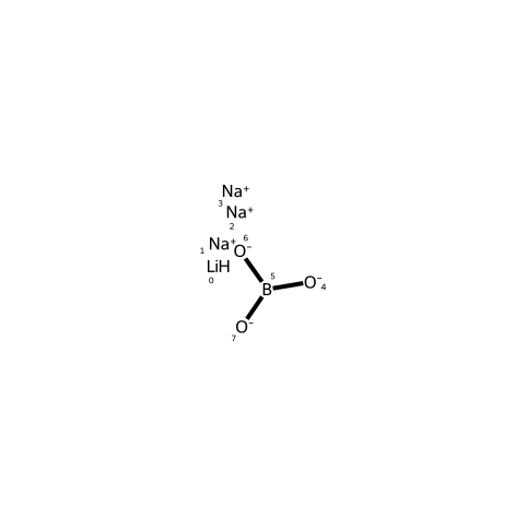 [LiH].[Na+].[Na+].[Na+].[O-]B([O-])[O-]